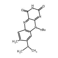 CCCCn1c2nc(=O)[nH]c(=O)c-2nc2cc(C)c(N(C)C)cc21